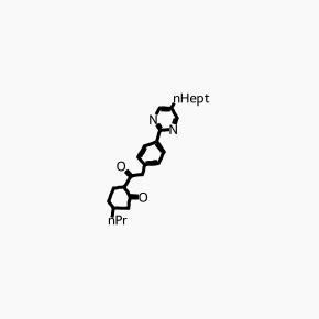 CCCCCCCc1cnc(-c2ccc(CC(=O)C3CCC(CCC)CC3=O)cc2)nc1